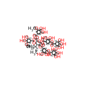 CCCC(C)C1C(OC(=O)c2cc(O)c(O)c(OC)c2)C(COC(=O)c2cc(O)c(O)c(OC)c2)OC(OC(=O)c2ccc(OC(=O)c3cc(O)c(O)c(O)c3)c(O)c2O)C1OC(=O)c1cc(O)c(O)c(OC(=O)c2cc(O)c(O)c(O)c2)c1